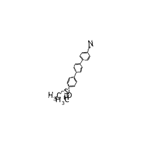 CC[SiH](OC)c1ccc(-c2ccc(-c3ccc(C#N)cc3)cc2)cc1